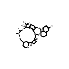 CN1CC[C@@H]2CCO[C@@H](C2)[C@@H]2CC[C@H]2CN2C[C@@]3(CCCc4cc(Cl)ccc43)COc3ccc(cc32)[C@@](O)(C(=O)O)CC1=O